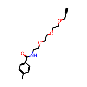 C#CCOCCOCCOCCNC(=O)c1ccc(C)cc1